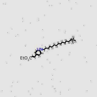 CCOC(=O)C=Cc1ccc(NCCCCCCCCCCCCCC[Si](C)(C)C)cc1